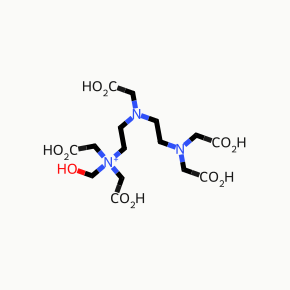 O=C(O)CN(CCN(CC(=O)O)CC(=O)O)CC[N+](CO)(CC(=O)O)CC(=O)O